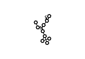 c1ccc(-c2cccc(N(c3ccc(-c4ccc5c(c4)-c4ccccc4C5(c4ccccc4)c4ccccc4)cc3)c3ccc(-c4ccc5c(c4)sc4ccccc45)cc3)c2)cc1